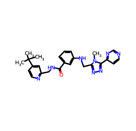 Cn1c(CNc2cccc(C(=O)NCc3cc(C(C)(C)C)ccn3)c2)nnc1-c1ccncn1